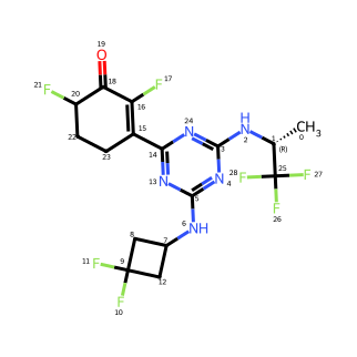 C[C@@H](Nc1nc(NC2CC(F)(F)C2)nc(C2=C(F)C(=O)C(F)CC2)n1)C(F)(F)F